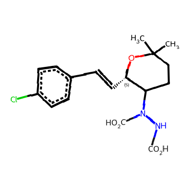 CC1(C)CCC(N(NC(=O)O)C(=O)O)[C@H](C=Cc2ccc(Cl)cc2)O1